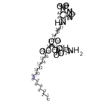 CCCCCCCC/C=C\CCCCCCCC(=O)OC[C@H](COP(=O)(O)OCCN)OC(=O)CCCCCNc1ccc([N+](=O)[O-])c2nonc12